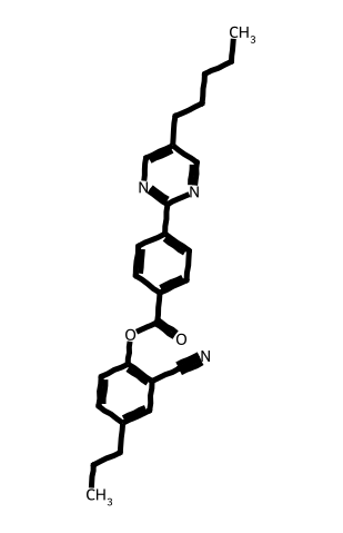 CCCCCc1cnc(-c2ccc(C(=O)Oc3ccc(CCC)cc3C#N)cc2)nc1